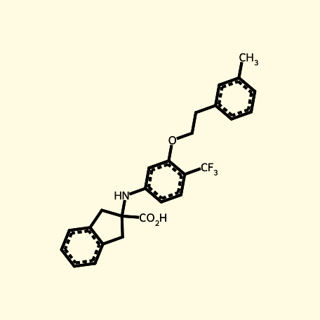 Cc1cccc(CCOc2cc(NC3(C(=O)O)Cc4ccccc4C3)ccc2C(F)(F)F)c1